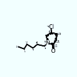 CCCCCCn1cc(Cl)ccc1=O